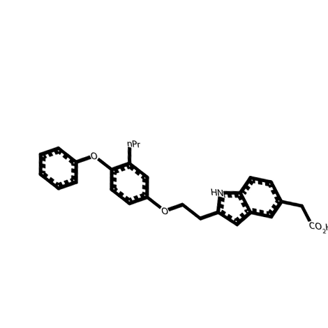 CCCc1cc(OCCc2cc3cc(CC(=O)O)ccc3[nH]2)ccc1Oc1ccccc1